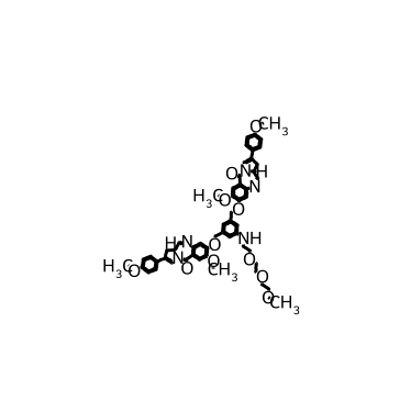 COCCOCCOCCNc1cc(COc2cc3c(cc2OC)C(=O)N2C=C(c4ccc(OC)cc4)C[C@H]2C=N3)cc(COc2cc3c(cc2OC)C(=O)N2C=C(c4ccc(OC)cc4)C[C@H]2C=N3)c1